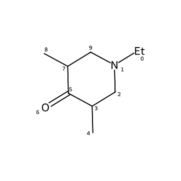 CCN1CC(C)C(=O)C(C)C1